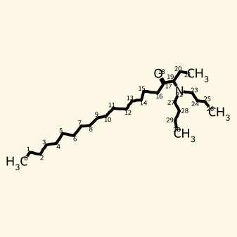 CCCCCCCCCCCCCCCCCC(=O)C(CC)N(CCCC)CCCC